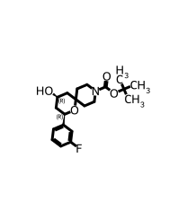 CC(C)(C)OC(=O)N1CCC2(CC1)C[C@H](O)C[C@H](c1cccc(F)c1)O2